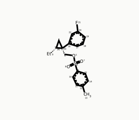 CC[C@@H]1C[C@@]1(COS(=O)(=O)c1ccc(C)cc1)c1cccc(F)c1